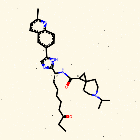 CCC(=O)CCCCC[C@H](NC(=O)[C@H]1CC12CCN(C(C)C)CC2)c1ncc(-c2ccc3nc(C)ccc3c2)[nH]1